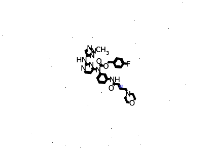 Cn1ncc(Nc2nccc(N(C(=O)OCc3ccc(F)cc3)c3cccc(NC(=O)/C=C/CN4CCOCC4)c3)n2)n1